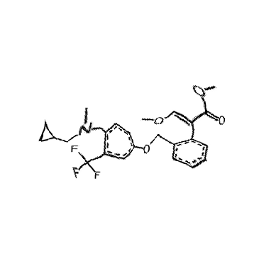 CO/C=C(/C(=O)OC)c1ccccc1COc1ccc(N(C)CC2CC2)c(C(F)(F)F)c1